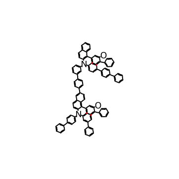 c1ccc(-c2ccc(-c3ccc(N(c4cccc(-c5ccc(-c6ccc7c(-c8ccc9c(c8)oc8ccccc89)c(N(c8ccc(-c9ccccc9)cc8)c8cccc(-c9ccccc9)c8)ccc7c6)cc5)c4)c4ccc5ccccc5c4-c4ccc5c(c4)oc4ccccc45)cc3)cc2)cc1